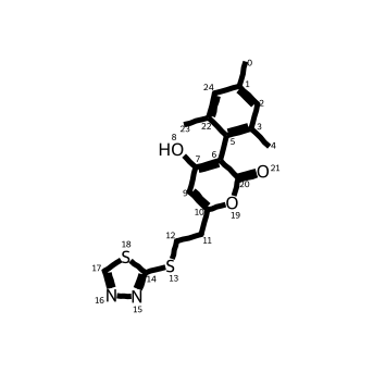 Cc1cc(C)c(-c2c(O)cc(CCSc3nncs3)oc2=O)c(C)c1